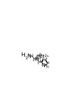 NCCN(Cl)Cc1ccccn1.[Pt+2]